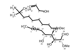 C=CCO.CC(=O)O.CCCCCCCCCCCCCCCCCC(C)(C)N.CO[C@@H](C=O)[C@@H](O)[C@H](O)[C@H](O)CO